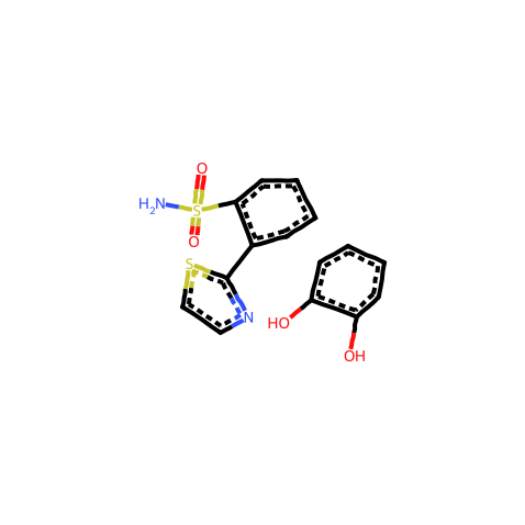 NS(=O)(=O)c1ccccc1-c1nccs1.Oc1ccccc1O